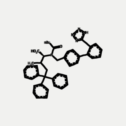 CCCCC(=O)N(Cc1ccc(-c2ccccc2-c2nnn[nH]2)cc1)[C@H](C(=O)O)C(C)CC(c1ccccc1)(c1ccccc1)c1ccccc1